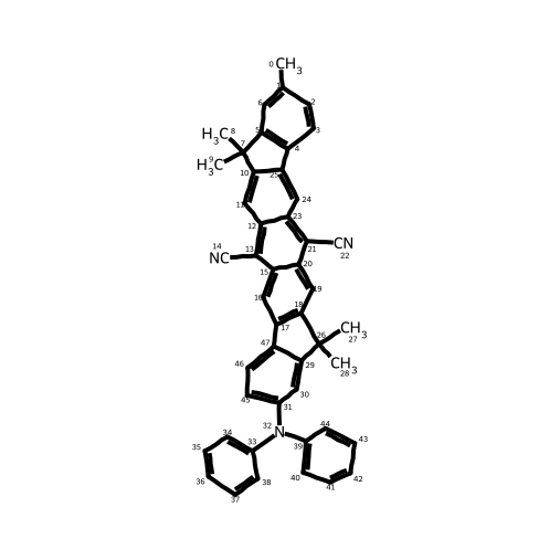 Cc1ccc2c(c1)C(C)(C)c1cc3c(C#N)c4cc5c(cc4c(C#N)c3cc1-2)C(C)(C)c1cc(N(c2ccccc2)c2ccccc2)ccc1-5